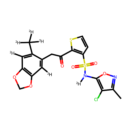 [2H]c1c(CC(=O)c2sccc2S(=O)(=O)N([2H])c2onc(C)c2Cl)c(C([2H])([2H])[2H])c([2H])c2c1OCO2